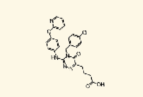 O=C(O)CCCc1nnc(Nc2ccc(Oc3ccccn3)cc2)n(Cc2ccc(Cl)cc2)c1=O